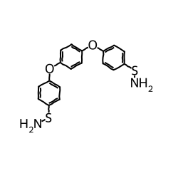 NSc1ccc(Oc2ccc(Oc3ccc(SN)cc3)cc2)cc1